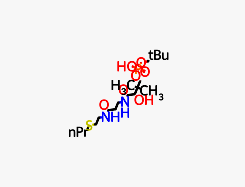 CCCSCCNC(=O)CCNC(=O)C(O)C(C)(C)COP(=O)(O)OCC(C)(C)C